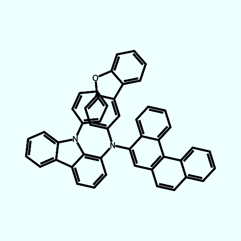 c1ccc(-n2c3ccccc3c3cccc(N(c4ccc5oc6ccccc6c5c4)c4cc5ccc6ccccc6c5c5ccccc45)c32)cc1